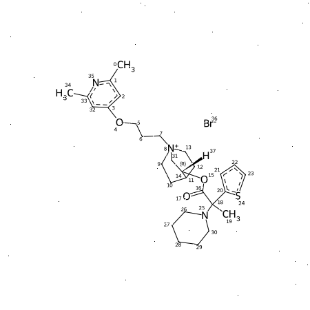 Cc1cc(OCCC[N+]23CCC(CC2)[C@@H](OC(=O)C(C)(c2cccs2)N2CCCCC2)C3)cc(C)n1.[Br-]